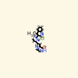 Cc1c(-c2nccc(-c3cc4n(n3)CCNC4=O)n2)c(Cl)nc2ccccc12